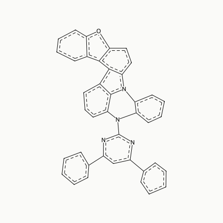 c1ccc(-c2cc(-c3ccccc3)nc(N3c4ccccc4-n4c5ccc6oc7ccccc7c6c5c5cccc3c54)n2)cc1